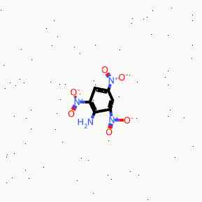 Nc1c([N+](=O)[O-])cc([N+](=O)[O-])cc1[N+](=O)[O-]